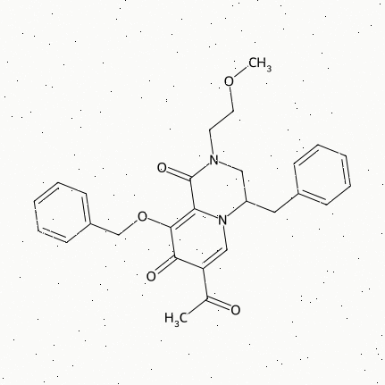 COCCN1CC(Cc2ccccc2)n2cc(C(C)=O)c(=O)c(OCc3ccccc3)c2C1=O